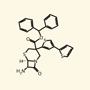 N[C@@H]1C(=O)N2CC(C(=O)OC(c3ccccc3)c3ccccc3)(c3cc(-c4cccs4)cs3)CS[C@H]12